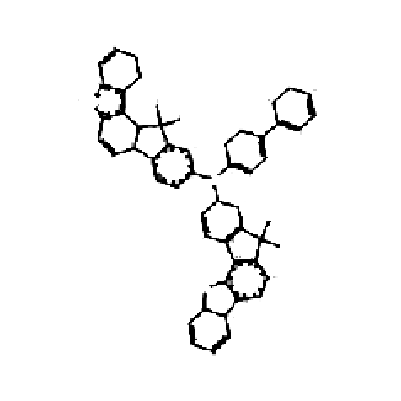 CC1(C)C2=C(C=CC(N(C3=CC=C(C4=CC=CCC4)CC3)c3ccc4c(c3)C(C)(C)C3c5c(oc6c5CCC=C6)C=CC43)C2)c2c1ccc1c2SC2C=CC=CC12